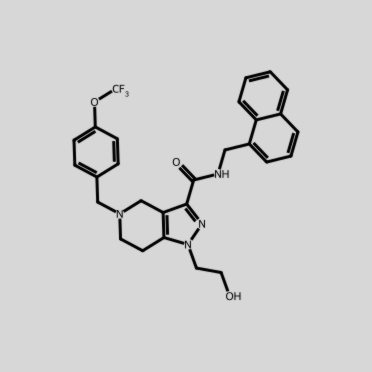 O=C(NCc1cccc2ccccc12)c1nn(CCO)c2c1CN(Cc1ccc(OC(F)(F)F)cc1)CC2